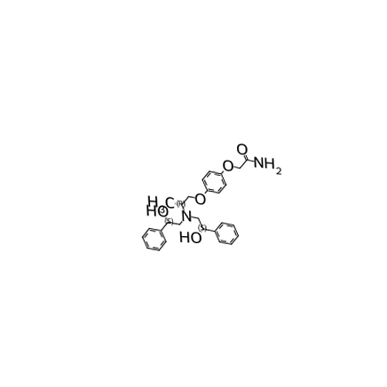 C[C@H](COc1ccc(OCC(N)=O)cc1)N(C[C@@H](O)c1ccccc1)C[C@@H](O)c1ccccc1